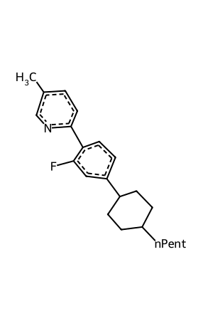 CCCCCC1CCC(c2ccc(-c3ccc(C)cn3)c(F)c2)CC1